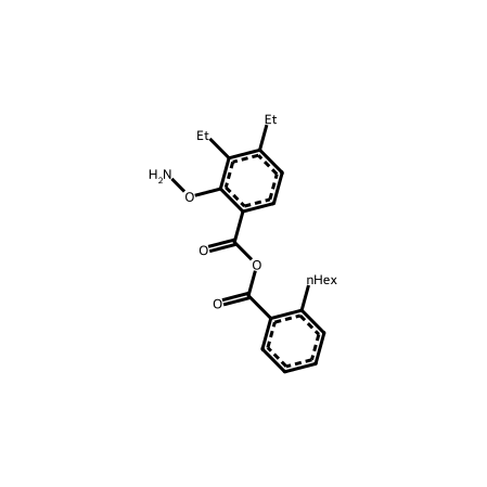 CCCCCCc1ccccc1C(=O)OC(=O)c1ccc(CC)c(CC)c1ON